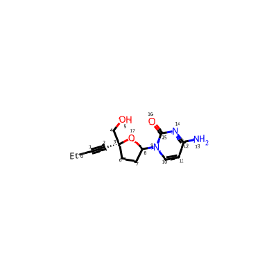 CCC#C[C@@]1(CO)CCC(n2ccc(N)nc2=O)O1